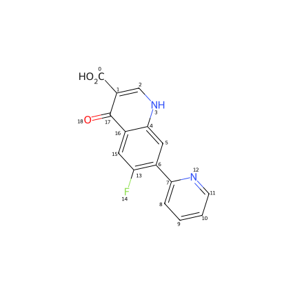 O=C(O)c1c[nH]c2cc(-c3ccccn3)c(F)cc2c1=O